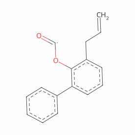 C=CCc1cccc(-c2ccccc2)c1O[C]=O